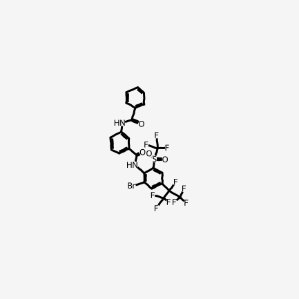 O=C(Nc1cccc(C(=O)Nc2c(Br)cc(C(F)(C(F)(F)F)C(F)(F)F)cc2S(=O)(=O)C(F)(F)F)c1)c1ccccc1